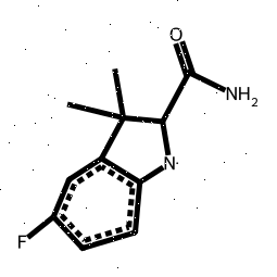 CC1(C)c2cc(F)ccc2[N]C1C(N)=O